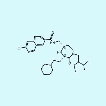 CCC(CN1CC[C@@H](CNC(=O)c2ccc3cc(Cl)ccc3c2)N[C@@H](CCN2CCCCC2)C1=O)C(C)C